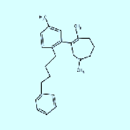 CC1=C(c2cc(C)ccc2CCCCc2ccccc2)CN(C)CCC1